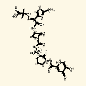 CC(C)(ON=C(C(=O)N[C@H]1CN(C(=O)NS(=O)(=O)N2CCCN(NC(=O)c3cc(=O)c(O)c[nH]3)C2=O)C1=O)c1csc(N)n1)C(=O)O